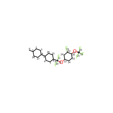 CC1CCC(C2CCC(C(F)(F)OC3CCC(OC(F)(F)F)C(F)C3)CC2)CC1